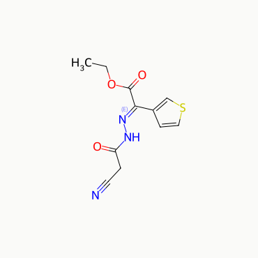 CCOC(=O)/C(=N/NC(=O)CC#N)c1ccsc1